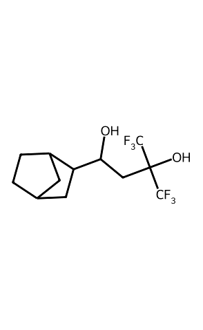 OC(CC(O)(C(F)(F)F)C(F)(F)F)C1CC2CCC1C2